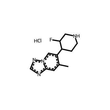 Cc1cc2ncnn2cc1C1CCNCC1F.Cl